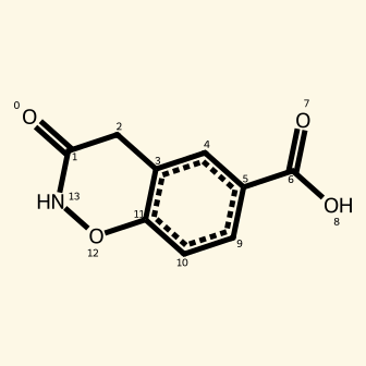 O=C1Cc2cc(C(=O)O)ccc2ON1